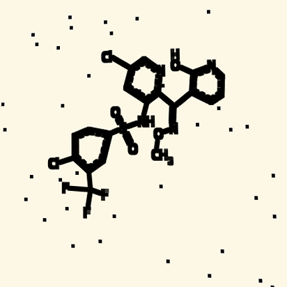 CON=C(c1cccnc1O)c1ncc(Cl)cc1NS(=O)(=O)c1ccc(Cl)c(C(F)(F)F)c1